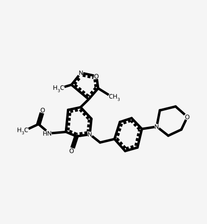 CC(=O)Nc1cc(-c2c(C)noc2C)cn(Cc2ccc(N3CCOCC3)cc2)c1=O